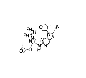 [2H]C([2H])([2H])n1cc(Nc2ncc3cc(C#N)n([C@H]4COC[C@@H]4C)c3n2)c(O[C@H]2CO[C@@H]2C)n1